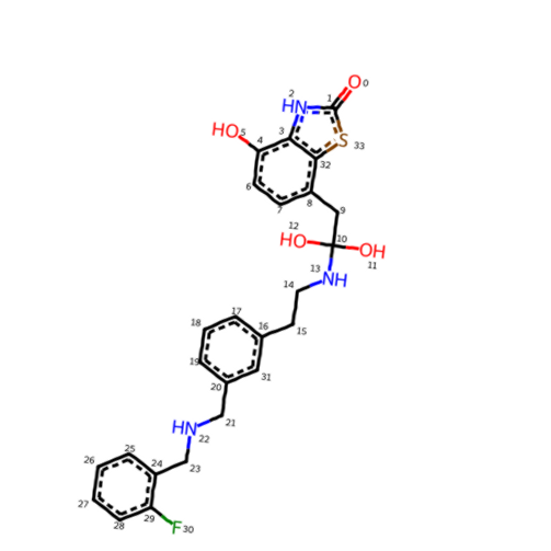 O=c1[nH]c2c(O)ccc(CC(O)(O)NCCc3cccc(CNCc4ccccc4F)c3)c2s1